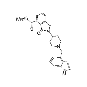 CNC(=O)c1cccc2c1C(=O)N(C1CCN(Cc3cccc4[nH]ccc34)CC1)C2